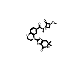 CON1C[C@H](NC(=O)c2ccc3c(c2)N(c2nc4c(s2)C(=O)NC(C)(C)C4)CCO3)C1=O